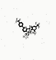 CCS(=O)(=O)c1ccc(-c2ccc(C(F)(F)F)cc2)nc1-c1nc2c(n1C)C(=O)CC(C(F)(F)F)=C2